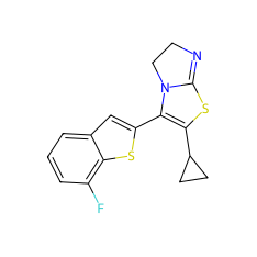 Fc1cccc2cc(C3=C(C4CC4)SC4=NCCN43)sc12